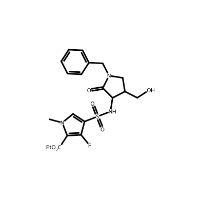 CCOC(=O)c1c(F)c(S(=O)(=O)NC2C(=O)N(Cc3ccccc3)CC2CO)cn1C